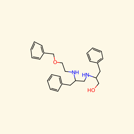 OCC(Cc1ccccc1)NCC(Cc1ccccc1)NCCOCc1ccccc1